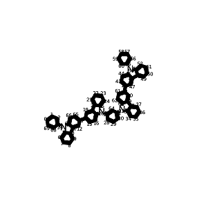 c1ccc(-n2c3ccccc3c3cc(-c4ccc5c(c4)c4ccccc4n5-c4cccc(-n5c6ccccc6c6cc(-c7ccc8c(c7)c7ccccc7n8-c7ccccc7)ccc65)c4)ccc32)cc1